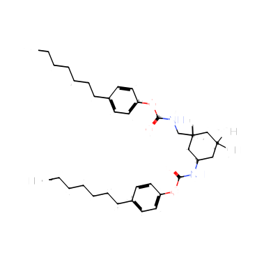 CCCCCCCc1ccc(OC(=O)NCC2(C)CC(NC(=O)Oc3ccc(CCCCCCC)cc3)CC(C)(C)C2)cc1